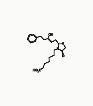 O=C(O)CCCCCCN1C(=O)CSC1CC=C(O)CCc1ccccc1